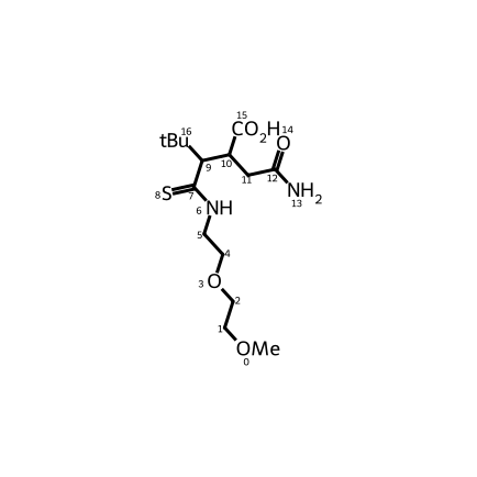 COCCOCCNC(=S)C(C(CC(N)=O)C(=O)O)C(C)(C)C